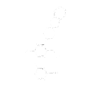 Cc1nc(N2CCC3(CC2)Cc2ccccc2C3)c(CO)nc1Sc1ccnc(N)c1Cl